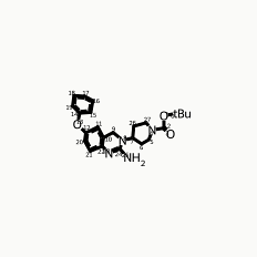 CC(C)(C)OC(=O)N1CCC(N2Cc3cc(Oc4ccccc4)ccc3N=C2N)CC1